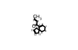 CC=CC(=O)C1=CCCCC12CC=CC2